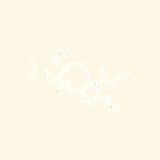 C=C(C)CO[C@H]1[C@H](C)OC(=O)[C@@H](N(C(=O)OC(C)(C)C)C(=O)OC(C)(C)C)COC[C@@H]1OCCCC